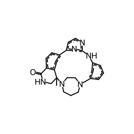 CC12CNC(=O)c3ccc(cc31)-c1ccnc(n1)Nc1cccc(c1)N1CCCN2CC1